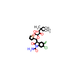 CCC(C)(CC)CC(=O)C(OC(=C1C(=O)N(C(N)=O)c2cc(Cl)c(F)cc21)c1cccs1)C(=O)O